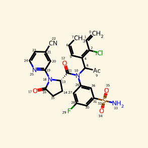 C=C/C(Cl)=C(\C=C/C)C(C(C)=O)N(C(=O)[C@@H]1CCC(=O)N1c1cc(C#N)ccn1)c1cc(F)cc(S(N)(=O)=O)c1